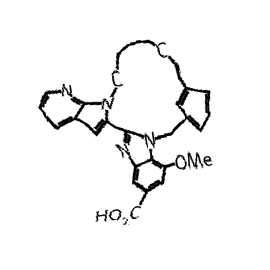 COc1cc(C(=O)O)cc2nc3n(c12)Cc1cccc(c1)CCCCCCn1c-3cc2cccnc21